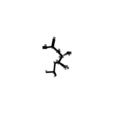 CC(C)C[C@H](N)[C@@H](O)[Au][C](=O)O